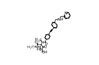 CNC(=O)C(C(=O)NO)N(C)C(=O)c1ccc(C#Cc2ccc(CNCc3ccccn3)cc2)cc1